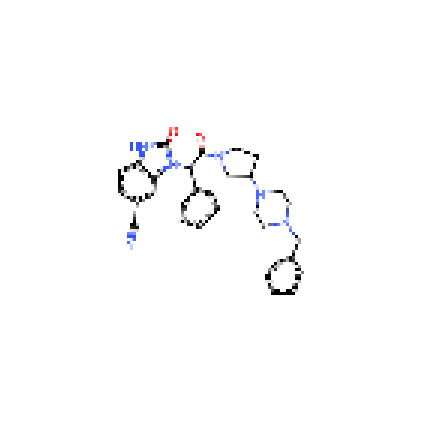 N#Cc1ccc2[nH]c(=O)n(C(C(=O)N3CCC(N4CCN(Cc5ccccc5)CC4)C3)c3ccccc3)c2c1